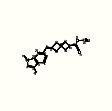 Cn1cc(F)c2ccc(C=C3CC4(C3)CN(C(=O)OC(C)(C)C)C4)nc21